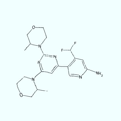 CC1COCCN1c1cc(-c2cnc(N)cc2C(F)F)nc(N2CCOCC2C)n1